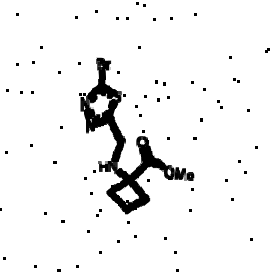 COC(=O)C1(NCc2nnc(Br)s2)CCC1